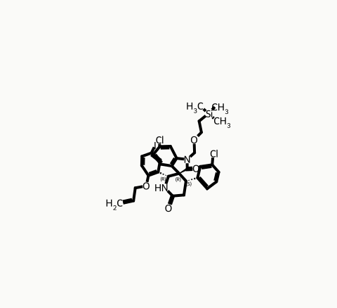 C=CCOc1ccc(I)cc1[C@H]1NC(=O)C[C@@H](c2cccc(Cl)c2)[C@]12C(=O)N(COCC[Si](C)(C)C)c1cc(Cl)ccc12